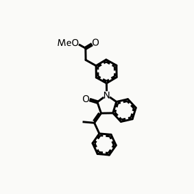 COC(=O)Cc1cccc(N2C(=O)/C(=C(\C)c3ccccc3)c3ccccc32)c1